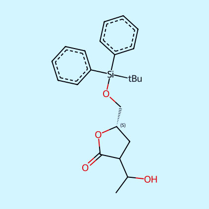 CC(O)C1C[C@@H](CO[Si](c2ccccc2)(c2ccccc2)C(C)(C)C)OC1=O